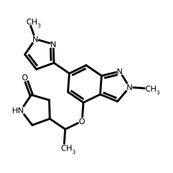 CC(Oc1cc(-c2ccn(C)n2)cc2nn(C)cc12)C1CNC(=O)C1